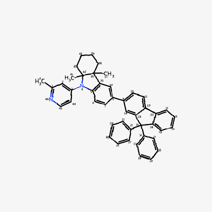 Cc1cc(N2c3ccc(-c4ccc5c(c4)C(c4ccccc4)(c4ccccc4)c4ccccc4-5)cc3C3(C)CCCCC23C)ccn1